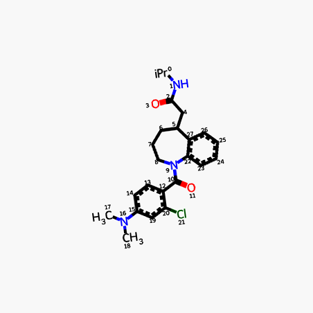 CC(C)NC(=O)CC1CCCN(C(=O)c2ccc(N(C)C)cc2Cl)c2ccccc21